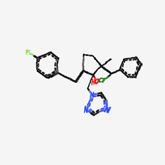 CC1(C(Cl)c2ccccc2)CCC(Cc2ccc(F)cc2)C1(O)Cn1cncn1